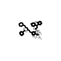 CC(C)(C)c1ccc(CCC(CCCC2CCCCC2)OC(=O)c2ccccc2)cc1NC(=O)CC1c2ccccc2Oc2ccccc21